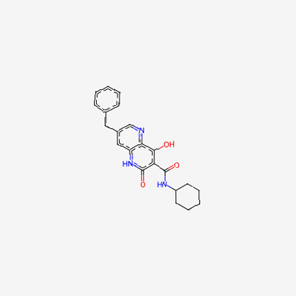 O=C(NC1CCCCC1)c1c(O)c2ncc(Cc3ccccc3)cc2[nH]c1=O